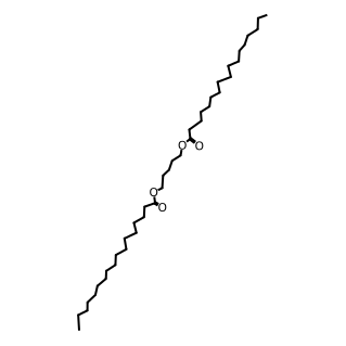 CCCCCCCCCCCCCCCCC(=O)OCCCCCOC(=O)CCCCCCCCCCCCCCCC